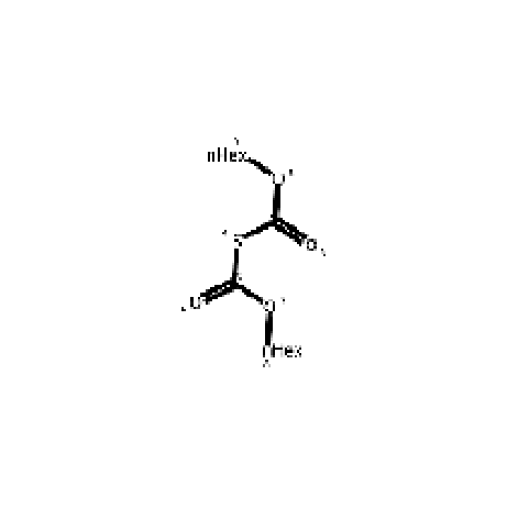 CCCCCCOC(=O)SC(=O)OCCCCCC